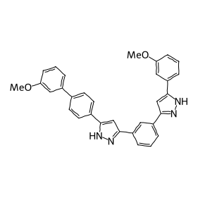 COc1cccc(-c2ccc(-c3cc(-c4cccc(-c5cc(-c6cccc(OC)c6)[nH]n5)c4)n[nH]3)cc2)c1